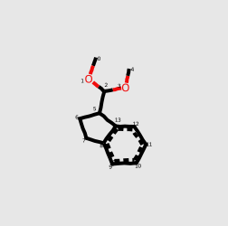 COC(OC)C1CCc2ccccc21